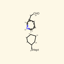 CCCCCCC[C@H]1CC[C@H](c2ccc(CC=O)cn2)CC1